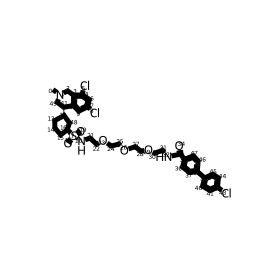 CN1Cc2c(Cl)cc(Cl)cc2[C@H](C2CCCC(S(=O)(=O)NCCOCCOCCOCCNC(=O)c3ccc(-c4ccc(Cl)cc4)cc3)C2)C1